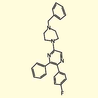 Fc1ccc(-c2ncc(N3CCN(Cc4ccccc4)CC3)nc2-c2ccccc2)cc1